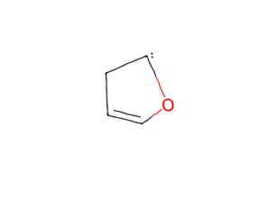 [C]1CC=CO1